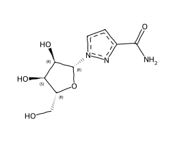 NC(=O)c1ccn([C@@H]2O[C@H](CO)[C@@H](O)[C@H]2O)n1